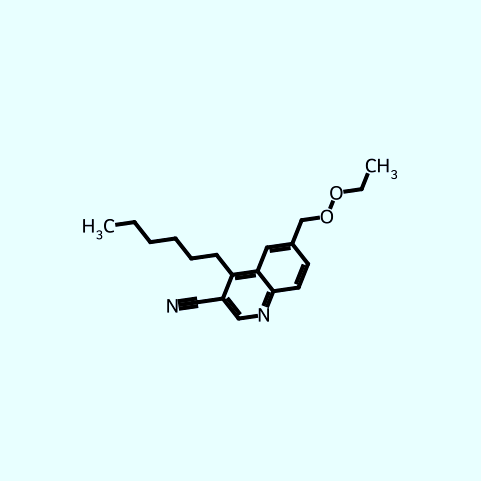 CCCCCCc1c(C#N)cnc2ccc(COOCC)cc12